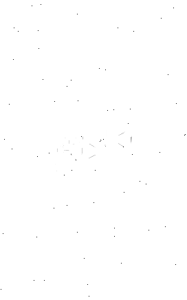 O=C1N(CC2CC2)c2ccc(NCc3ccccc3)cc2C12OCCCO2